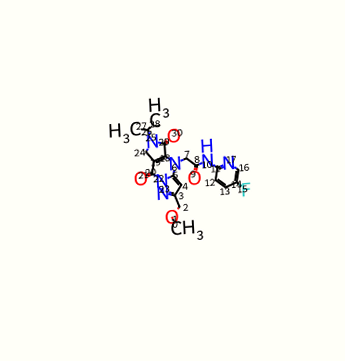 COCc1cc2n(CC(=O)Nc3ccc(F)cn3)c3c(c(=O)n2n1)CN(C(C)C)C3=O